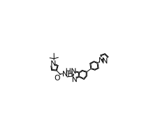 CC(C)(C)n1ccc(C(=O)NCc2nc3ccc(-c4ccc(-n5cccn5)cc4)cc3[nH]2)c1